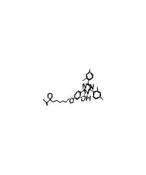 C=C(C)C(=O)CCCCCCOc1ccc(-c2nc(-c3ccc(C)cc3C)nc(-c3ccc(C)cc3C)n2)c(O)c1